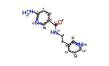 Nc1ccc(C(=O)NCCc2cccnc2)cn1